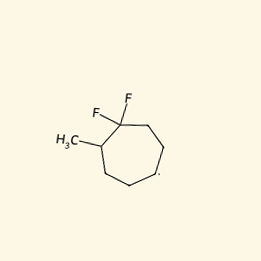 CC1CC[CH]CCC1(F)F